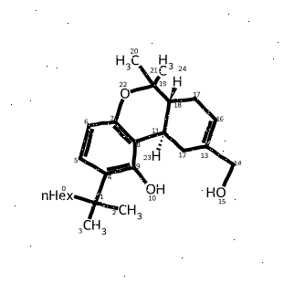 CCCCCCC(C)(C)c1ccc2c(c1O)[C@@H]1CC(CO)=CC[C@H]1C(C)(C)O2